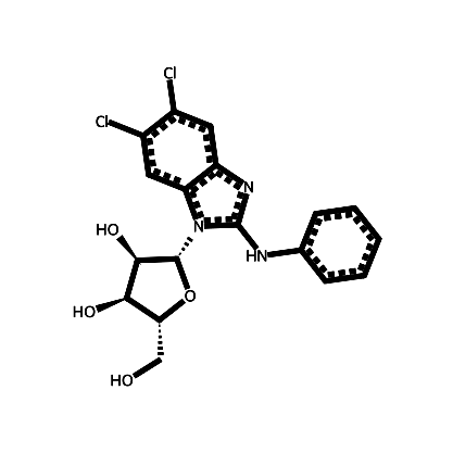 OC[C@H]1O[C@@H](n2c(Nc3ccccc3)nc3cc(Cl)c(Cl)cc32)[C@H](O)[C@@H]1O